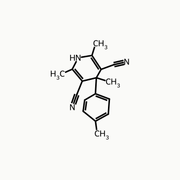 CC1=C(C#N)C(C)(c2ccc(C)cc2)C(C#N)=C(C)N1